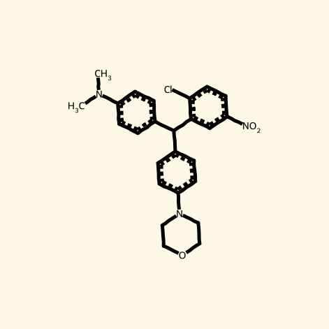 CN(C)c1ccc(C(c2ccc(N3CCOCC3)cc2)c2cc([N+](=O)[O-])ccc2Cl)cc1